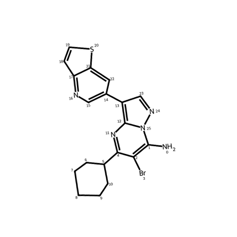 Nc1c(Br)c(C2CCCCC2)nc2c(-c3cnc4ccsc4c3)cnn12